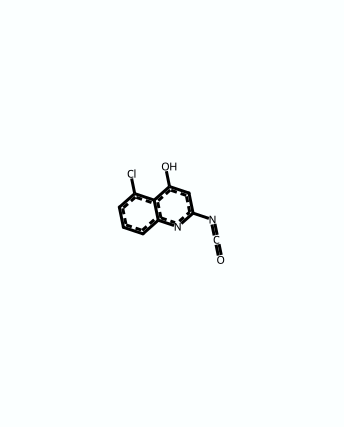 O=C=Nc1cc(O)c2c(Cl)cccc2n1